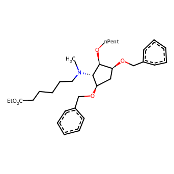 CCCCCO[C@@H]1[C@@H](N(C)CCCCCC(=O)OCC)[C@H](OCc2ccccc2)C[C@@H]1OCc1ccccc1